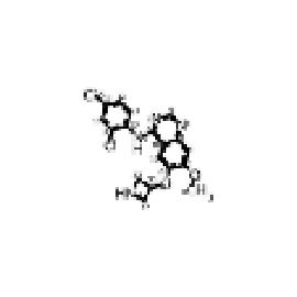 COc1cc2ncnc(Nc3ccc(Cl)cc3Cl)c2cc1OC1CNC1